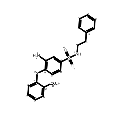 Nc1cc(S(=O)(=O)NCCc2ccccc2)ccc1Sc1ccccc1C(=O)O